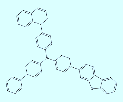 C1=Cc2ccccc2C(c2ccc(N(C3=CCC(c4ccccc4)C=C3)C3=CC=C(c4ccc5c(c4)oc4ccccc45)CC3)cc2)C1